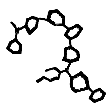 C=C/C=C\C(=C/C)N(c1ccc(-c2ccccc2)cc1)c1ccc(-c2cccc(-c3cccc(-c4ccc(N(C)c5ccccc5)cc4)c3)c2)cc1